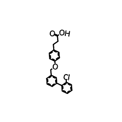 O=C(O)CCc1ccc(OCc2cccc(-c3ccccc3Cl)c2)cc1